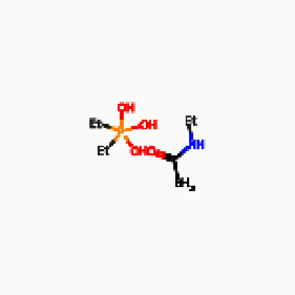 BC(=O)NCC.CCP(O)(O)(O)CC